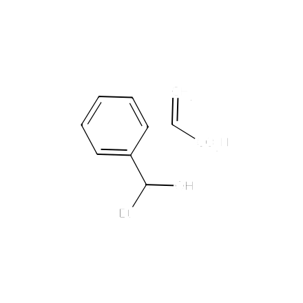 C=CC(=O)O.CCC(O)c1ccccc1